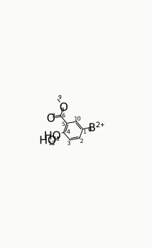 [B+2]c1cccc(C(=O)OC)c1.[OH-].[OH-]